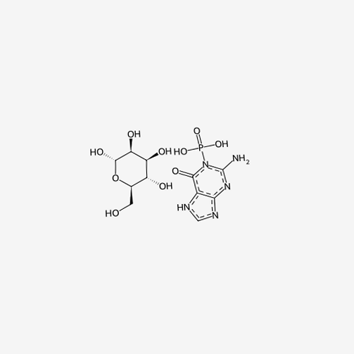 Nc1nc2nc[nH]c2c(=O)n1P(=O)(O)O.OC[C@H]1O[C@H](O)[C@@H](O)[C@@H](O)[C@@H]1O